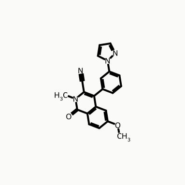 COc1ccc2c(=O)n(C)c(C#N)c(-c3cccc(-n4cccn4)c3)c2c1